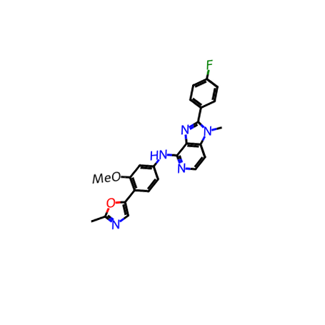 COc1cc(Nc2nccc3c2nc(-c2ccc(F)cc2)n3C)ccc1-c1cnc(C)o1